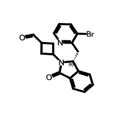 O=CC1CC(N2C(=O)c3ccccc3[C@H]2Cc2ncccc2Br)C1